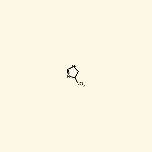 O=[N+]([O-])C1C[N]C=N1